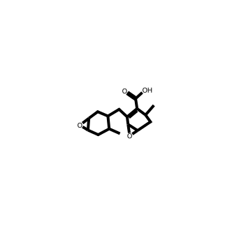 CC1CC2OC2C(CC2CC3OC3CC2C)=C1C(=O)O